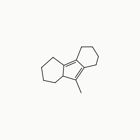 CC1=C2CCCCC2=C2CCCCC12